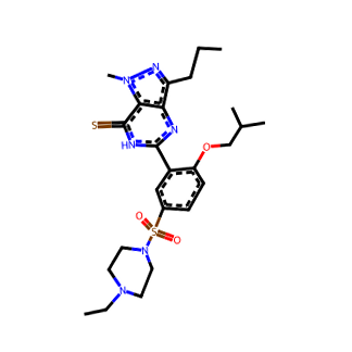 CCCc1nn(C)c2c(=S)[nH]c(-c3cc(S(=O)(=O)N4CCN(CC)CC4)ccc3OCC(C)C)nc12